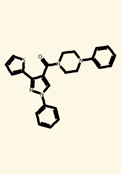 O=C(c1cn(-c2ccccc2)nc1-c1cccs1)N1CCN(c2ccccc2)CC1